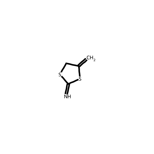 C=C1CSC(=N)S1